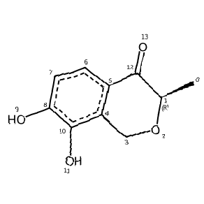 C[C@H]1OCc2c(ccc(O)c2O)C1=O